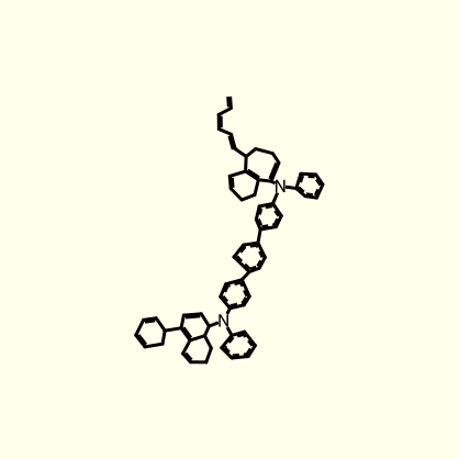 C=C/C=C\C=C\C1CCC=C(N(c2ccccc2)c2ccc(-c3ccc(-c4ccc(N(c5ccccc5)C5C=CC(C6C=CC=CC6)=C6C=CCCC65)cc4)cc3)cc2)C2=C1C=CCC2